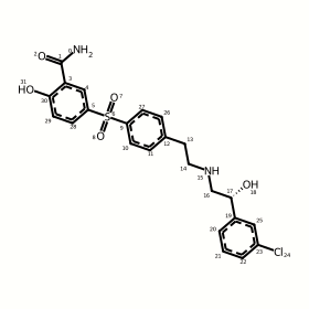 NC(=O)c1cc(S(=O)(=O)c2ccc(CCNC[C@H](O)c3cccc(Cl)c3)cc2)ccc1O